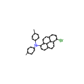 Cc1ccc(N(c2ccc(C)cc2)c2ccc3ccc4c(Br)ccc5ccc2c3c54)cc1